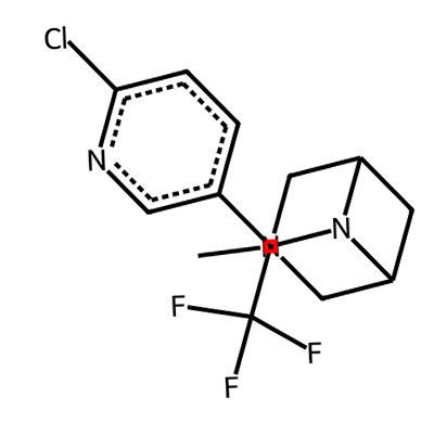 CN1CC2CC(C1)N2C(c1ccc(Cl)nc1)C(F)(F)F